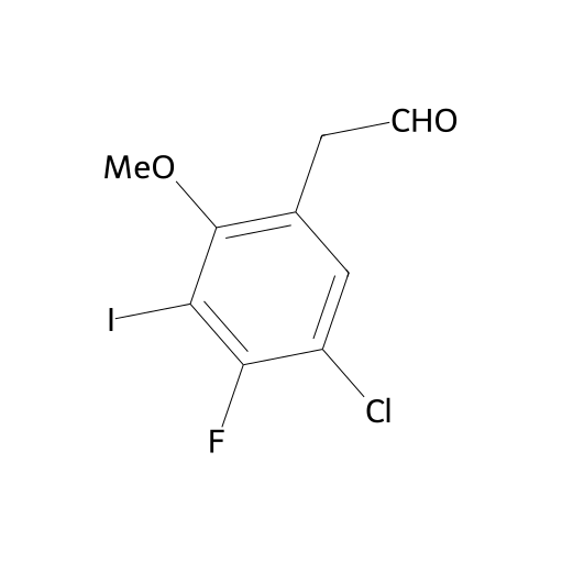 COc1c(CC=O)cc(Cl)c(F)c1I